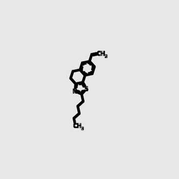 C=Cc1ccc2c(c1)CCc1nc(CCCCC)sc1-2